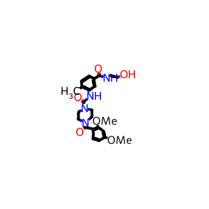 COc1ccc(C(=O)N2CCN(C(=O)Nc3cc(C(=O)NCCO)ccc3C)CC2)c(OC)c1